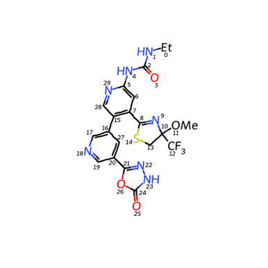 CCNC(=O)Nc1cc(C2=NC(OC)(C(F)(F)F)CS2)c(-c2cncc(-c3n[nH]c(=O)o3)c2)cn1